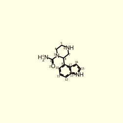 NC(=O)N1CCNCC1c1cccc2[nH]ccc12